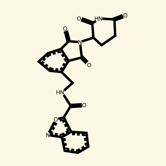 O=C1CCC(N2C(=O)c3cccc(CNC(=O)c4onc5ccccc45)c3C2=O)C(=O)N1